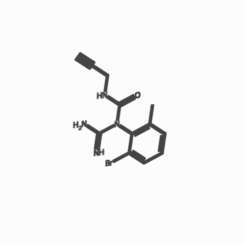 C#CCNC(=O)N(C(=N)N)c1c(C)cccc1Br